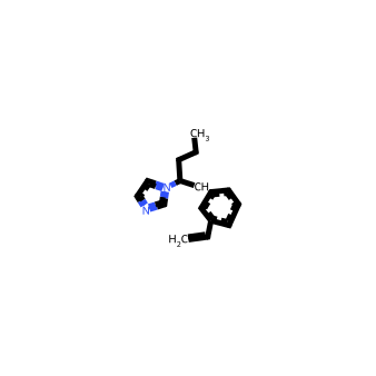 C=Cc1ccccc1.CCCC(C)n1ccnc1